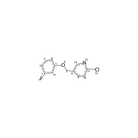 Fc1cccc(OCc2ccc(Cl)nc2)c1